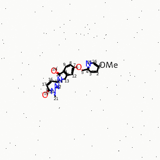 COc1ccc(COc2ccc3c(c2)CN(c2ccc(=O)n(C)n2)C3=O)nc1